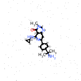 Cn1cnc2cc(-c3ccc(C(C)(C)N)cc3)nc(NC3CC3)c2c1=O